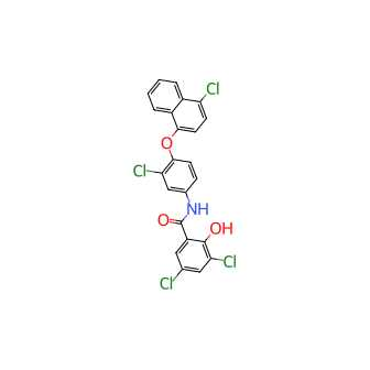 O=C(Nc1ccc(Oc2ccc(Cl)c3ccccc23)c(Cl)c1)c1cc(Cl)cc(Cl)c1O